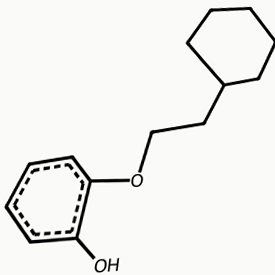 Oc1ccccc1OCCC1CCCCC1